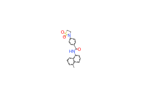 Cc1cccc2c(NC(=O)c3ccc(N4CCS4(=O)=O)cc3)cccc12